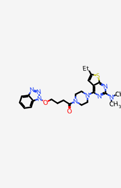 CCc1cc2c(N3CCN(C(=O)CCCOn4nnc5ccccc54)CC3)nc(N(C)C)nc2s1